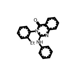 CCc1ccccc1-n1c(Nc2ccccc2)nc2ccccc2c1=O